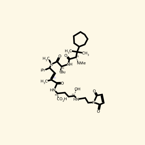 CN[C@H](C(=O)N[C@H](C(=O)N(C)C(/C=C(\C)C(=O)N[C@H](CC[C@H](O)NCCN1C(=O)C=CC1=O)C(=O)O)C(C)C)C(C)(C)C)C(C)(C)C1CCCCCC1